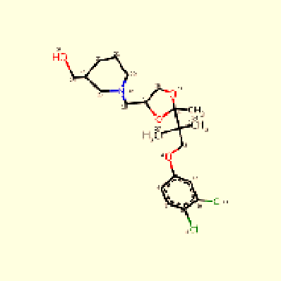 CC(C)(COc1ccc(Cl)c(Cl)c1)C1(C)OCC(CN2CCCC(CO)C2)O1